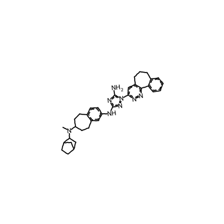 CN(C1CCc2ccc(Nc3nc(N)n(-c4cc5c(nn4)-c4ccccc4CCC5)n3)cc2CC1)C1CC2CCC1C2